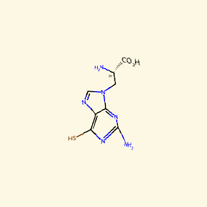 Nc1nc(S)c2ncn(C[C@H](N)C(=O)O)c2n1